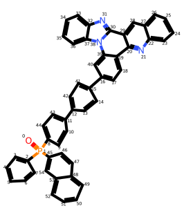 O=P(c1ccccc1)(c1ccc(-c2ccc(-c3ccc4c5nc6ccccc6cc5c5nc6ccccc6n5c4c3)cc2)cc1)c1ccc2ccccc2c1